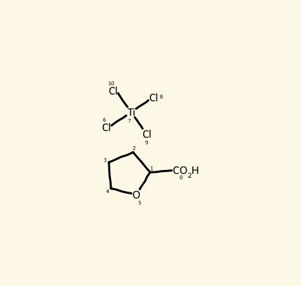 O=C(O)C1CCCO1.[Cl][Ti]([Cl])([Cl])[Cl]